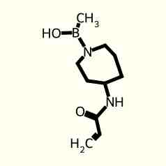 C=CC(=O)NC1CCCN(B(C)O)CC1